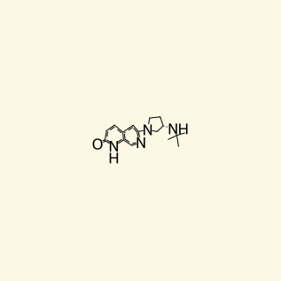 CC(C)(C)N[C@H]1CCN(c2cc3ccc(=O)[nH]c3cn2)C1